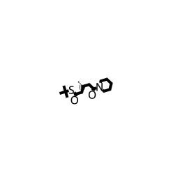 C[C@@H](CC(=O)SC(C)(C)C)CC(=O)N1CCCCC1